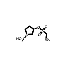 CC(C)(C)CS(=O)(=O)O[C@@H]1CCN(C(=O)O)C1